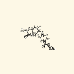 CCc1cc2cc(C)c(CN3CCN(C(=O)OC(C)(C)C)CC3)cc2[nH]c1=O